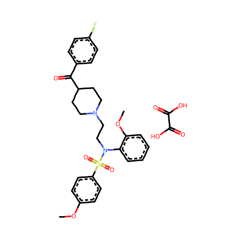 COc1ccc(S(=O)(=O)N(CCN2CCC(C(=O)c3ccc(F)cc3)CC2)c2ccccc2OC)cc1.O=C(O)C(=O)O